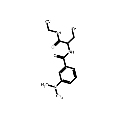 CC(C)CC(NC(=O)c1cccc(N(C)C)c1)C(=O)NCC#N